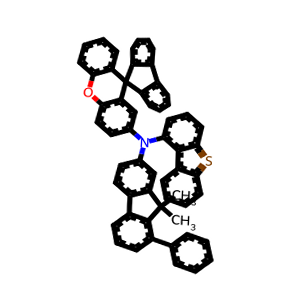 CC1(C)c2cc(N(c3ccc4c(c3)C3(c5ccccc5O4)c4ccccc4-c4ccccc43)c3cccc4sc5ccccc5c34)ccc2-c2cccc(-c3ccccc3)c21